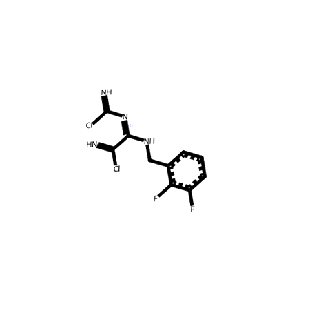 N=C(Cl)/N=C(/NCc1cccc(F)c1F)C(=N)Cl